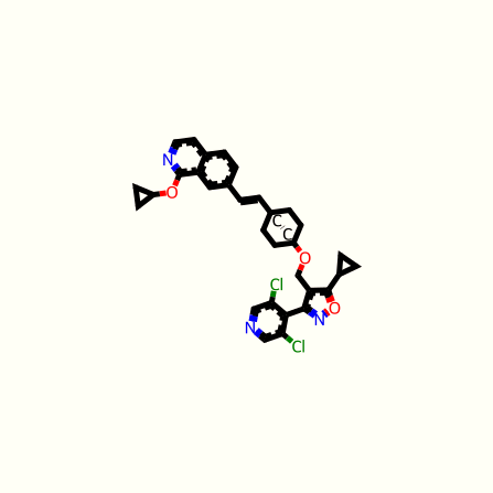 Clc1cncc(Cl)c1-c1noc(C2CC2)c1COC12CCC(/C=C/c3ccc4ccnc(OC5CC5)c4c3)(CC1)CC2